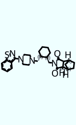 O=C1C2[C@@H]3CC[C@@H](C3)[C@H]2C(=O)N1C[C@@H]1CCCC[C@H]1CN1CCN(c2nsc3ccccc23)CC1